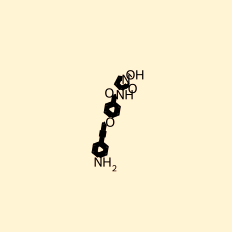 Nc1ccc(C#CCOc2ccc(C(=O)NC3CCN(O)C3=O)cc2)cc1